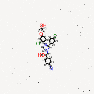 CC(C)(O)COc1ccc(N2CCN(C[C@@H](O)c3ccc(C#N)cc3)C[C@H]2c2ccc(Cl)cc2)c(Cl)c1